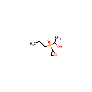 CCCP(=O)(C(C)O)C1CO1